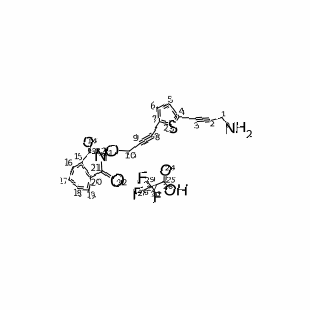 NCC#Cc1ccc(C#CCON2C(=O)c3ccccc3C2=O)s1.O=C(O)C(F)(F)F